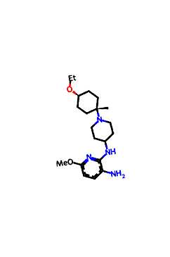 CCO[C@H]1CC[C@](C)(N2CCC(Nc3nc(OC)ccc3N)CC2)CC1